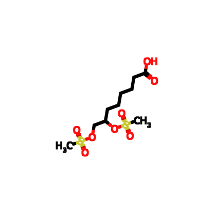 CS(=O)(=O)OCC(CCCCCC(=O)O)OS(C)(=O)=O